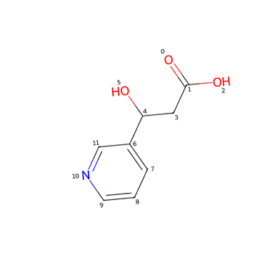 O=C(O)CC(O)c1cccnc1